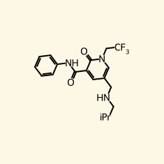 CC(C)CNCc1cc(C(=O)Nc2ccccc2)c(=O)n(CC(F)(F)F)c1